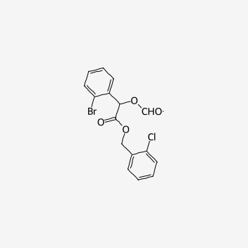 O=[C]OC(C(=O)OCc1ccccc1Cl)c1ccccc1Br